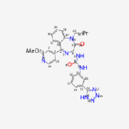 COc1cc(C2=N[C@@H](NC(=O)Nc3cccc(-c4nnn[nH]4)c3)C(=O)N(CC(C)C)c3ccccc32)ccn1